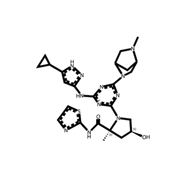 CN1CC2CC1CN2c1nc(Nc2cc(C3CC3)[nH]n2)nc(N2C[C@@H](O)C[C@@]2(C)C(=O)Nc2nccs2)n1